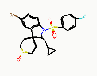 O=S(=O)(c1ccc(F)cc1)N1c2ccc(Br)cc2C2(CC[S+]([O-])CC2)C1C1CC1